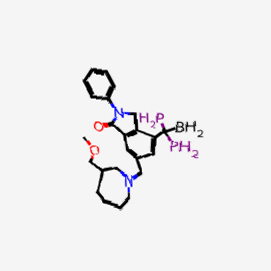 BC(P)(P)c1cc(CN2CCCCC(COC)C2)cc2c1CN(c1ccccc1)C2=O